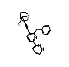 O[C@]1(C#Cc2ccc(-c3cccnn3)nc2Cc2ccccc2)CN2CCC1CC2